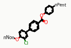 CCCCCCCCCOc1ccc(-c2ccc(C(=O)Oc3ccc(CCCCC)cc3)cc2)cc1Cl